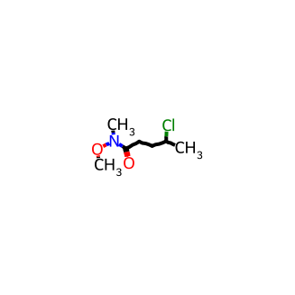 CON(C)C(=O)CCC(C)Cl